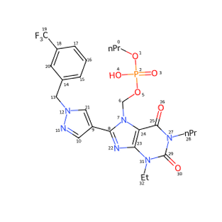 CCCOP(=O)(O)OCn1c(-c2cnn(Cc3cccc(C(F)(F)F)c3)c2)nc2c1c(=O)n(CCC)c(=O)n2CC